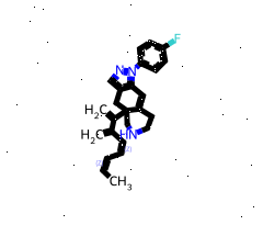 C=C(/C=C\C=C/C)C(=C)C12CNCCC1=Cc1c(cnn1-c1ccc(F)cc1)C2